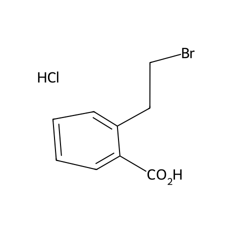 Cl.O=C(O)c1ccccc1CCBr